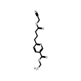 CCOC(=O)c1ccc(CCCC(=O)OCC#N)nc1